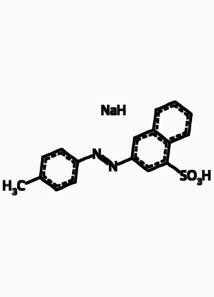 Cc1ccc(N=Nc2cc(S(=O)(=O)O)c3ccccc3c2)cc1.[NaH]